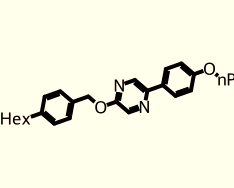 CCCCCCc1ccc(COc2cnc(-c3ccc(OCCC)cc3)cn2)cc1